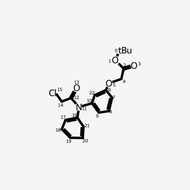 CC(C)(C)OC(=O)COc1cccc(N(C(=O)CCl)c2ccccc2)c1